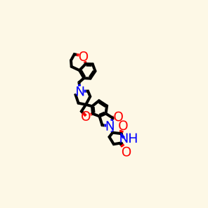 O=C1CCC(N2Cc3c(ccc4c3OCC43CCN(Cc4cccc5c4CCCO5)CC3)C2=O)C(=O)N1